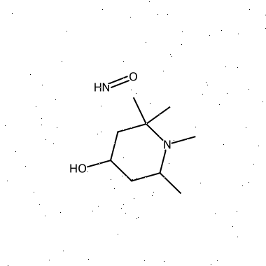 CC1CC(O)CC(C)(C)N1C.N=O